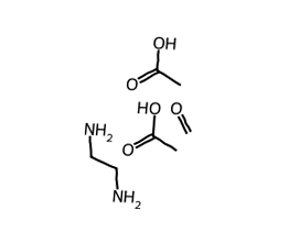 C=O.CC(=O)O.CC(=O)O.NCCN